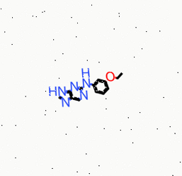 CCOc1cccc(Nc2ncc3nc[nH]c3n2)c1